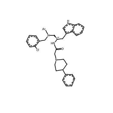 CC(=O)N(Cc1ccccc1Cl)C[C@@H](Cc1c[nH]c2ccccc12)NC(=O)CN1CCC(c2ccccc2)CC1